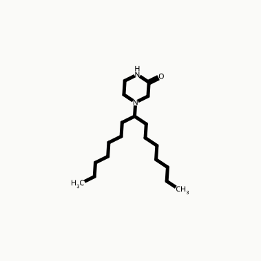 CCCCCCCC(CCCCCCC)N1CCNC(=O)C1